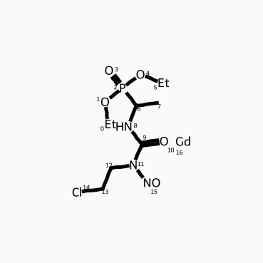 CCOP(=O)(OCC)C(C)NC(=O)N(CCCl)N=O.[Gd]